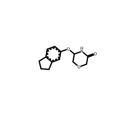 O=C1COCC(Oc2ccc3c(c2)CCC3)N1